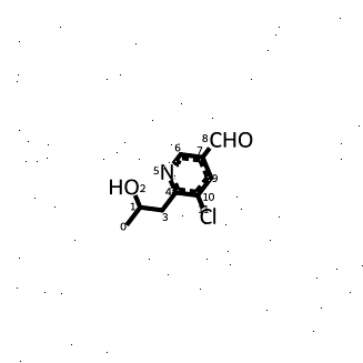 CC(O)Cc1ncc(C=O)cc1Cl